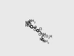 NN=NC(=NN)Nc1ccc(C(=O)Oc2ccc(CC(=O)N[C@@H](Cc3cn(N)cn3)C(=O)O)c(Cl)c2)cc1